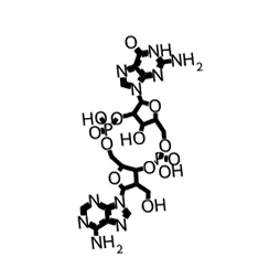 Nc1nc2c(ncn2C2OC3COP(=O)(O)OC4C(COP(=O)(O)OC2C3O)OC(n2cnc3c(N)ncnc32)C4CO)c(=O)[nH]1